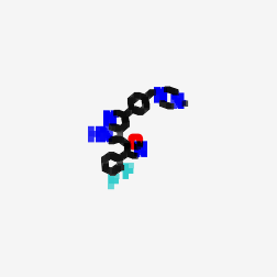 CN1CCN(Cc2ccc(-c3cnc4[nH]cc(-c5oncc5-c5cccc(F)c5F)c4c3)cc2)CC1